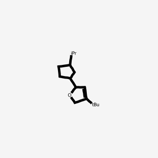 CC(C)C1CCC(C2C=C(C(C)(C)C)CO2)C1